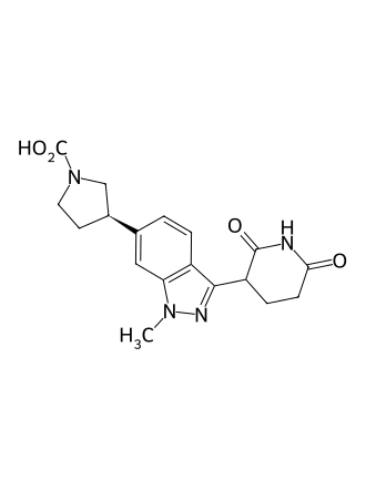 Cn1nc(C2CCC(=O)NC2=O)c2ccc([C@H]3CCN(C(=O)O)C3)cc21